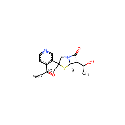 COC(=O)c1ccncc1C1(C(=O)O)CN2C(=O)[C@H]([C@@H](C)O)[C@H]2S1